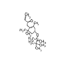 C=CC(=O)CC1=C(C)CC(O[Si](C)(C)C(C)(C)C)CC1(C)C